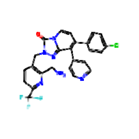 NCc1nc(C(F)(F)F)ccc1Cn1nc2c(-c3ccncc3)c(-c3ccc(Cl)cc3)ccn2c1=O